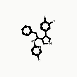 Clc1ccc(NC(Cc2ccccc2)C2CNCC2c2ccc(Cl)c(Cl)c2)nc1